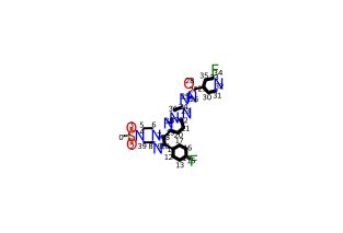 CS(=O)(=O)N1CCn2c(nc(-c3ccc(F)cc3)c2-c2ccc3nc(N=NC(=O)c4ccnc(F)c4)cn3n2)C1